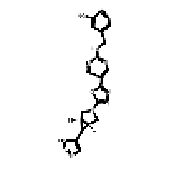 N#Cc1cccc(CNc2ncc(-c3nnc(N4C[C@@H]5C(c6cnn[nH]6)[C@@H]5C4)o3)cn2)c1